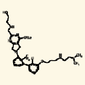 COc1nc(CNCCO)nc2c1CN(c1cccc(-c3cccc(OCCCNCCN(C)C)c3Cl)c1C)C2